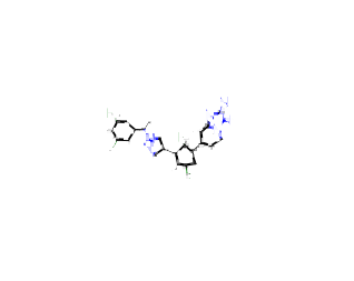 CC(c1cc(F)cc(F)c1)n1cc(-c2cc(F)cc(-c3ccn4nc(N)nc4c3)c2F)cn1